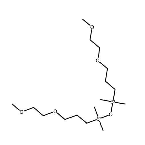 COCCOCCC[Si](C)(C)O[Si](C)(C)CCCOCCOC